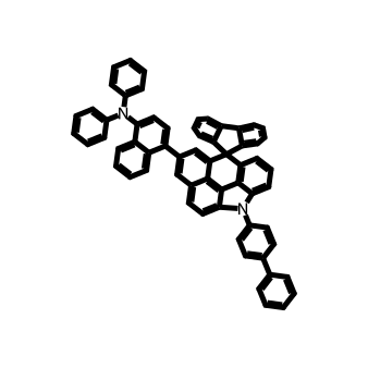 c1ccc(-c2ccc(-n3c4cccc5c4c4c6c(cc(-c7ccc(N(c8ccccc8)c8ccccc8)c8ccccc78)cc6ccc43)C53c4ccccc4-c4ccccc43)cc2)cc1